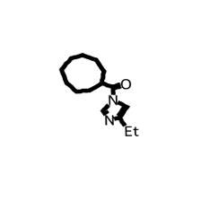 CCc1cn(C(=O)C2CCCCCCCC2)cn1